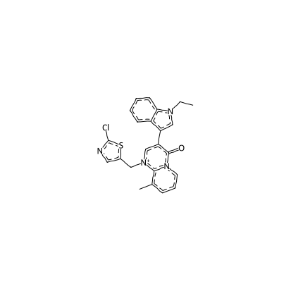 CCn1cc(-c2c[n+](Cc3cnc(Cl)s3)c3c(C)cccn3c2=O)c2ccccc21